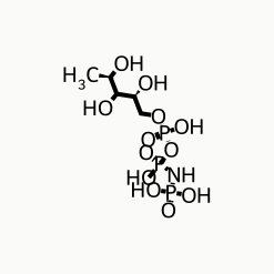 C[C@@H](O)C(O)[C@H](O)COP(=O)(O)OP(=O)(O)NP(=O)(O)O